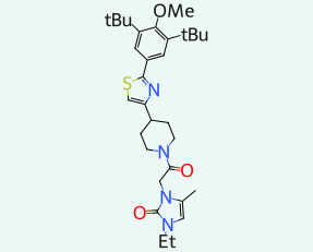 CCn1cc(C)n(CC(=O)N2CCC(c3csc(-c4cc(C(C)(C)C)c(OC)c(C(C)(C)C)c4)n3)CC2)c1=O